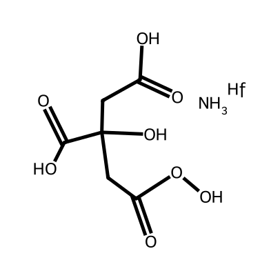 N.O=C(O)CC(O)(CC(=O)OO)C(=O)O.[Hf]